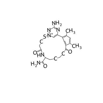 Cc1cc(C)c2cc1C(=O)CCCCC(C(N)=O)NC(=O)CCS[n+]1cc-2nc(N)n1